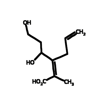 C=CCC(=C(C)C(=O)O)C(O)CCO